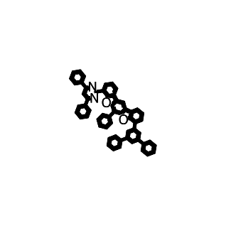 c1ccc(-c2cc(-c3ccccc3)cc(-c3cccc4c3oc3c(-c5ccccc5)c5oc6c(-c7nc(-c8ccccc8)cc(-c8ccccc8)n7)cccc6c5cc34)c2)cc1